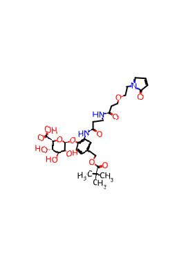 CC(C)(C)C(=O)OCc1ccc(O[C@@H]2O[C@H](C(=O)O)[C@@H](O)[C@H](O)[C@H]2O)c(NC(=O)CCNC(=O)CCOCCN2CC=CC2=O)c1